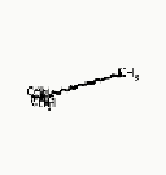 CCCCCCCCCCCCCCCCCCOC(O)C(C)(C)CC